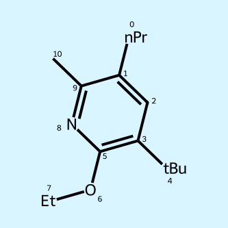 CCCc1cc(C(C)(C)C)c(OCC)nc1C